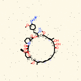 C#C[C@@H]1CC[C@H]2C[C@H](OC)/C(C)=C/C=C/C=C/[C@@H](C)C[C@@H](C)C(=O)[C@H](O)[C@H](O)/C(C)=C/[C@@H](C)[C@H](OC)C[C@@H]([C@H](N)C[C@@H]3CCC(N=[N+]=[N-])[C@H](OC)C3)OC(=O)[C@@H]3CCCCN3C(=O)C(=O)[C@]1(O)O2